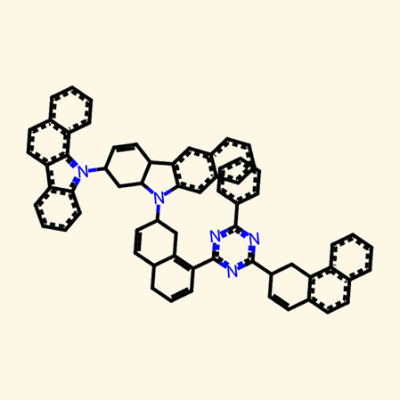 C1=CC(c2nc(-c3ccccc3)nc(C3C=Cc4ccc5ccccc5c4C3)n2)=C2CC(N3c4cc5ccccc5cc4C4C=CC(n5c6ccccc6c6ccc7ccccc7c65)CC43)C=CC2C1